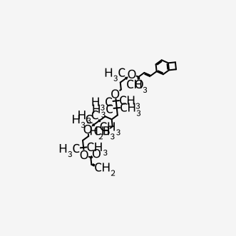 BCC(CC(C)(C)C(C)(C)OCCC(C)(C)OC(=O)C=C)CC(C)(C)C(C)(C)OCCC(C)(C)OC(=O)/C=C/c1ccc2c(c1)CC2